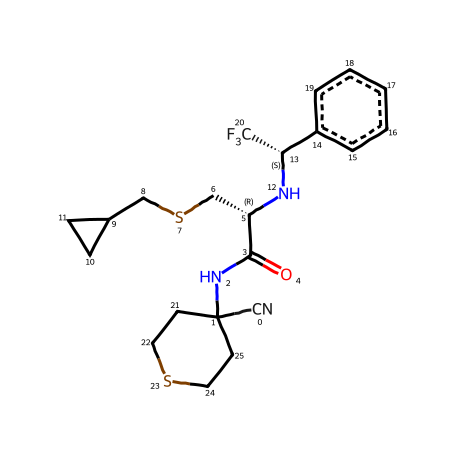 N#CC1(NC(=O)[C@H](CSCC2CC2)N[C@@H](c2ccccc2)C(F)(F)F)CCSCC1